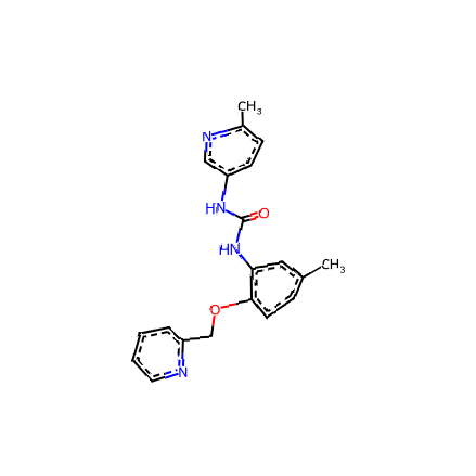 Cc1ccc(OCc2ccccn2)c(NC(=O)Nc2ccc(C)nc2)c1